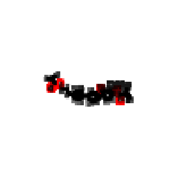 C=C(C)C(=O)OCCCc1ccc(-c2ccc3c(c2)oc2c(OC)c(OC(=O)C(=C)C)ccc23)cc1